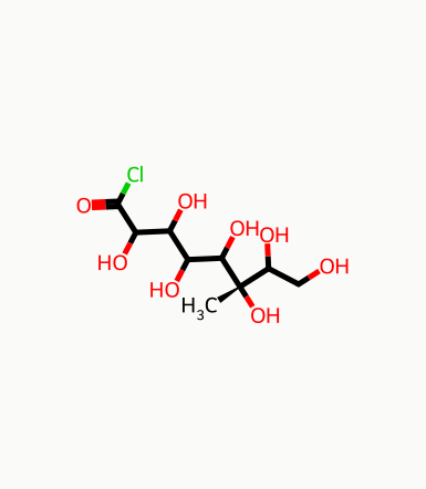 C[C@](O)(C(O)CO)C(O)C(O)C(O)C(O)C(=O)Cl